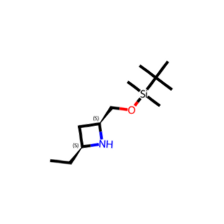 CC[C@H]1C[C@@H](CO[Si](C)(C)C(C)(C)C)N1